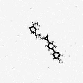 N[C@@H]1CCN(CCN[C@H]2CC2c2ccc(-c3ccc(Cl)cc3)nc2)C1